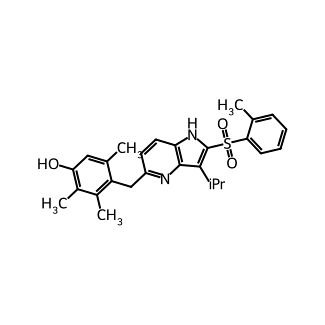 Cc1ccccc1S(=O)(=O)c1[nH]c2ccc(Cc3c(C)cc(O)c(C)c3C)nc2c1C(C)C